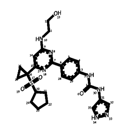 O=C(Nc1ccc(-c2nc(NCCO)cc(C3(S(=O)(=O)C4CCCC4)CC3)n2)cc1)Nc1cn[nH]c1